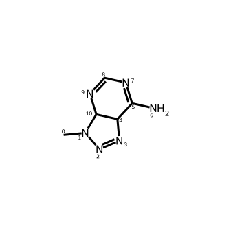 CN1N=NC2C(N)=NC=NC21